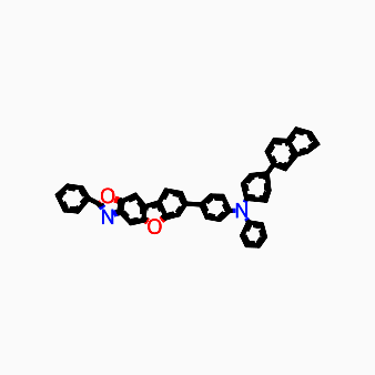 c1ccc(-c2nc3cc4oc5cc(-c6ccc(N(c7ccccc7)c7ccc(-c8ccc9ccccc9c8)cc7)cc6)ccc5c4cc3o2)cc1